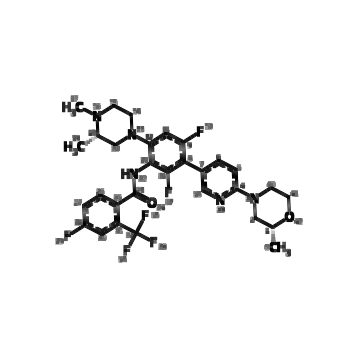 C[C@@H]1CN(c2ccc(-c3c(F)cc(N4CCN(C)[C@@H](C)C4)c(NC(=O)c4ccc(F)cc4C(F)(F)F)c3F)cn2)CCO1